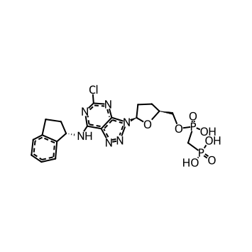 O=P(O)(O)CP(=O)(O)OC[C@@H]1CC[C@H](n2nnc3c(N[C@H]4CCc5ccccc54)nc(Cl)nc32)O1